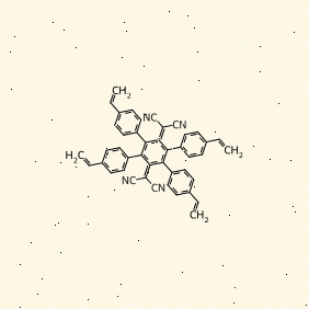 C=Cc1ccc(-c2c(-c3ccc(C=C)cc3)c(=C(C#N)C#N)c(-c3ccc(C=C)cc3)c(-c3ccc(C=C)cc3)c2=C(C#N)C#N)cc1